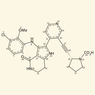 COc1c(Cl)cccc1Nc1c(-c2ccncc2C#C[C@H]2CCCN2C(=O)O)[nH]c2c1C(=O)NCC2